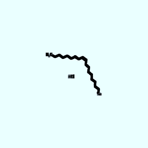 CCCCCCCC/C=C\CCCCCCC[CH2][Na].Cl